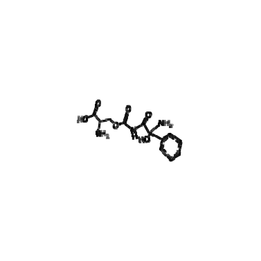 NC(COC(=O)NC(=O)C(N)(O)c1ccccc1)C(=O)O